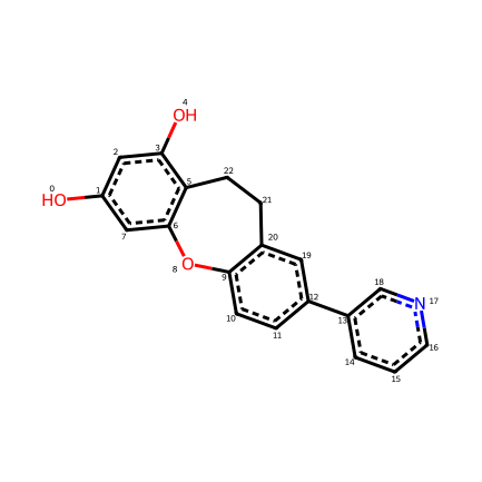 Oc1cc(O)c2c(c1)Oc1ccc(-c3cccnc3)cc1CC2